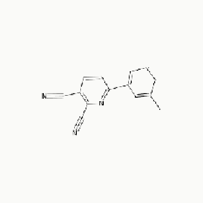 CC1=CC(c2ccc(C#N)c(C#N)n2)=C[CH]C1